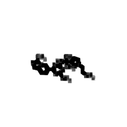 Cc1ncc2ccc(-c3nc(N)nc(NC(C)(C)c4ccn(CCN)n4)n3)cn12